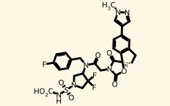 Cn1cc(-c2ccc3c(c2)CC[C@@]32OC(=O)N(CC(=O)N(Cc3ccc(F)cc3)C3CN(S(=O)(=O)NC(=O)O)CC3(F)F)C2=O)cn1